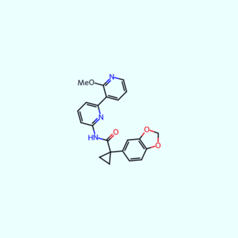 COc1ncccc1-c1cccc(NC(=O)C2(c3ccc4c(c3)OCO4)CC2)n1